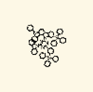 c1ccc(-n2c3ccccc3c3c2ccc2c4ccc([Si](c5ccccc5)(c5ccccc5)c5ccccc5)cc4n(-c4nc(-c5cccc([Si](c6ccccc6)(c6ccccc6)c6ccccc6)c5)nc(-n5c6ccccc6c6ccccc65)n4)c23)cc1